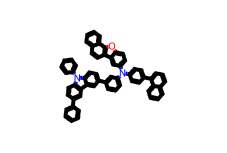 c1ccc(-c2ccc3c(c2)c2cc(-c4cccc(N(c5ccc(-c6cccc7ccccc67)cc5)c5ccc6oc7c8ccccc8ccc7c6c5)c4)ccc2n3-c2ccccc2)cc1